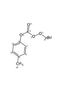 CCCCOOC(=O)Oc1ccc(C)cc1